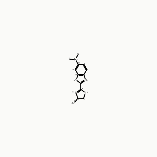 CC(=O)C1CSC(c2nc3ccc(N(C)C)cc3s2)=N1